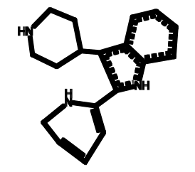 C1=CCNC(c2[nH]c3ccccc3c2C2CCNCC2)=C1